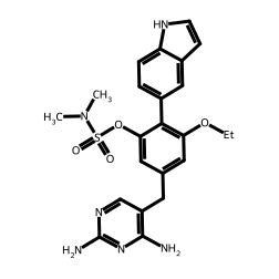 CCOc1cc(Cc2cnc(N)nc2N)cc(OS(=O)(=O)N(C)C)c1-c1ccc2[nH]ccc2c1